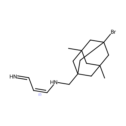 CC12CC3(C)CC(Br)(C1)CC(CN/C=C\C=N)(C2)C3